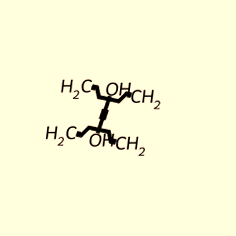 C=CCC(O)(C#CC(O)(CC=C)CC=C)CC=C